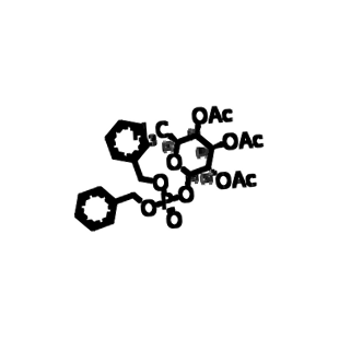 CC(=O)O[C@H]1[C@H](OC(C)=O)[C@@H](OP(=O)(OCc2ccccc2)OCc2ccccc2)O[C@@H](C)[C@H]1OC(C)=O